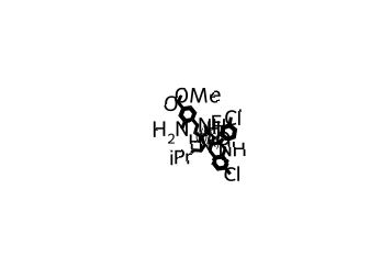 COC(=O)c1ccc(C2C[C@H]3[C@@H](N2)[C@H](c2cccc(Cl)c2F)[C@@]2(Cc4ccc(Cl)cc4NC2=O)N3CCC(C)C)c(N)c1